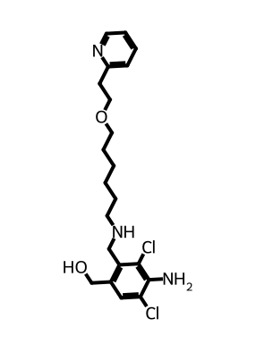 Nc1c(Cl)cc(CO)c(CNCCCCCCOCCc2ccccn2)c1Cl